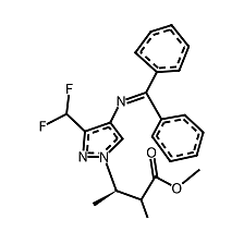 COC(=O)C(C)[C@@H](C)n1cc(N=C(c2ccccc2)c2ccccc2)c(C(F)F)n1